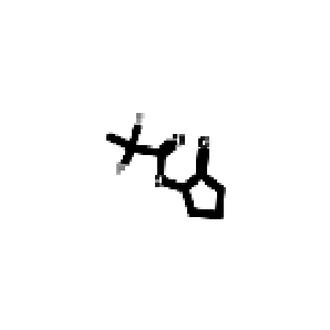 CC(F)(F)C(=O)OC1CCCC1=O